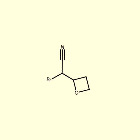 N#CC(Br)C1CCO1